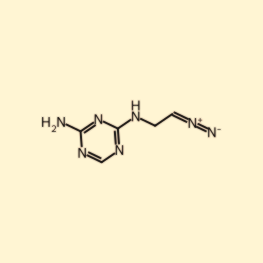 [N-]=[N+]=CCNc1ncnc(N)n1